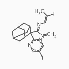 C=N/C(=N\C=C(/C)I)C1(c2ncc(I)cn2)C2CC3CC(C2)CC1C3